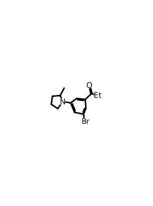 CCC(=O)c1cc(Br)cc(N2CCCC2C)c1